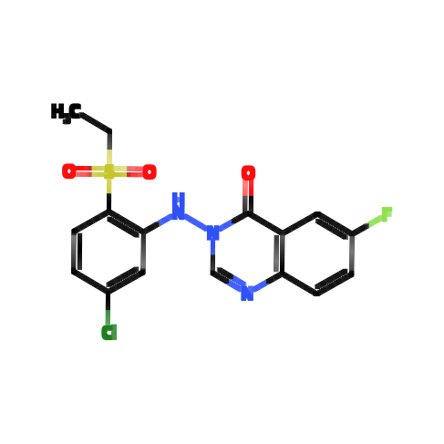 CCS(=O)(=O)c1ccc(Cl)cc1Nn1cnc2ccc(F)cc2c1=O